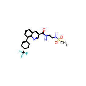 CS(=O)(=O)NCCNC(=O)c1cnc2c(C3=CC[C@@H](C(F)(F)F)CC3)cccc2c1